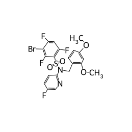 COc1ccc(CN(c2ccc(F)cn2)S(=O)(=O)c2c(F)cc(F)c(Br)c2F)c(OC)c1